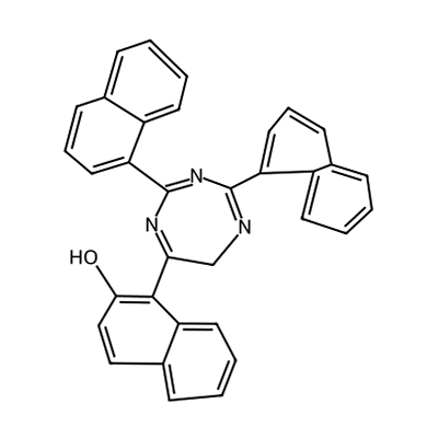 Oc1ccc2ccccc2c1C1=NC(c2cccc3ccccc23)=NC(c2cccc3ccccc23)=NC1